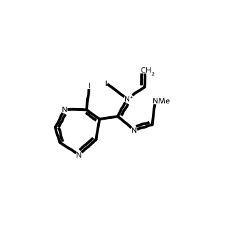 C=C/[N+](I)=C(\N=C/NC)C1=C(I)N=C=CN=C1